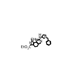 CCOC(=O)c1nn(C)c2c1CCc1cnc(NC3CCN(Cc4ccccc4)C3)nc1-2